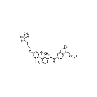 Cc1cc(OCCCNS(C)(=O)=O)cc(C)c1-c1cccc(CNc2ccc3c(c2)CC2(CC2)C3CC(=O)O)c1C